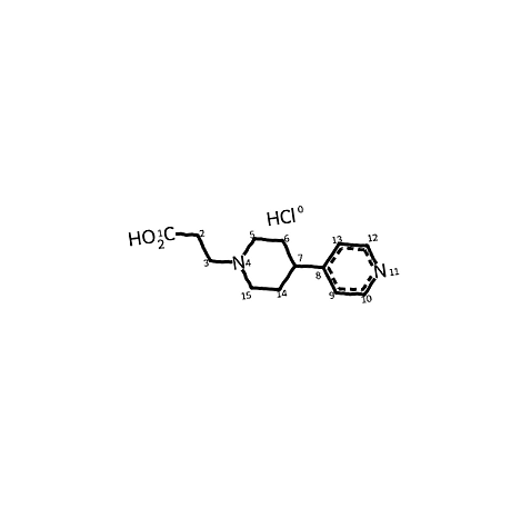 Cl.O=C(O)CCN1CCC(c2ccncc2)CC1